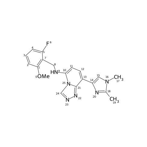 COc1cccc(F)c1CNc1ccc(-c2cn(C)c(C)n2)c2nncn12